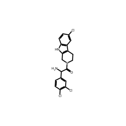 NC(C(=O)N1CCc2c([nH]c3ccc(Cl)cc23)C1)c1ccc(Cl)c(Cl)c1